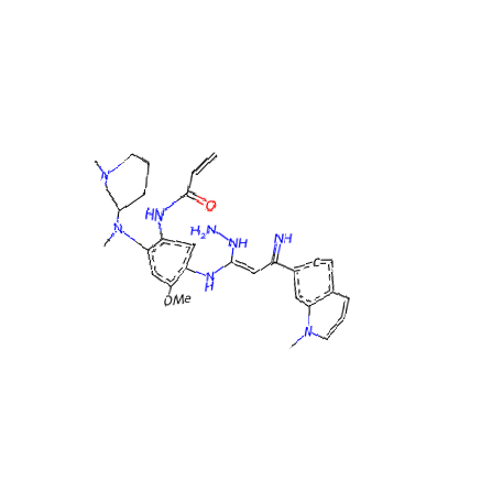 C=CC(=O)Nc1cc(N/C(=C/C(=N)c2ccc3c(c2)N(C)C=C=C3)NN)c(OC)cc1N(C)C1CCCN(C)C1